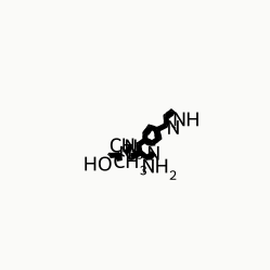 CC(C)(CO)n1cc2c(N)nc3cc(-c4cc[nH]n4)ccc3c2n1